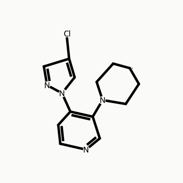 Clc1cnn(-c2ccncc2N2CC[CH]CC2)c1